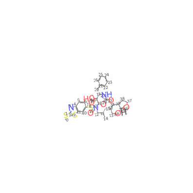 CSc1nc2ccc(S(=O)(=O)N(CC(C)C)C[C@@H](O)[C@H](Cc3ccccc3)NC(=O)O[C@H]3CCO[C@H]4OCCC43)cc2s1